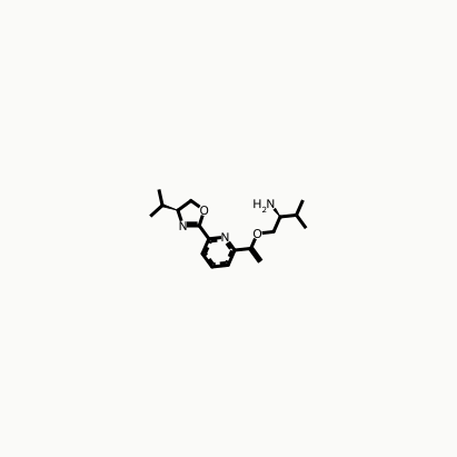 C=C(OC[C@@H](N)C(C)C)c1cccc(C2=N[C@@H](C(C)C)CO2)n1